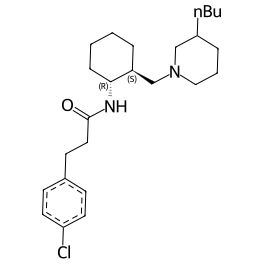 CCCCC1CCCN(C[C@@H]2CCCC[C@H]2NC(=O)CCc2ccc(Cl)cc2)C1